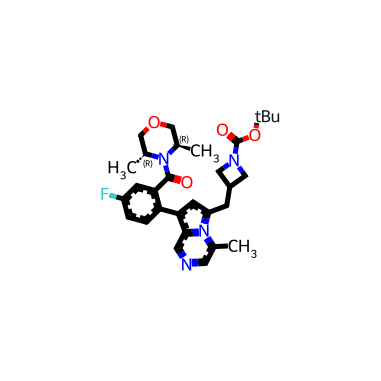 Cc1cncc2c(-c3ccc(F)cc3C(=O)N3[C@H](C)COC[C@H]3C)cc(CC3CN(C(=O)OC(C)(C)C)C3)n12